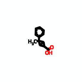 CC1(c2ccccc2)C2C(C(=O)O)C21